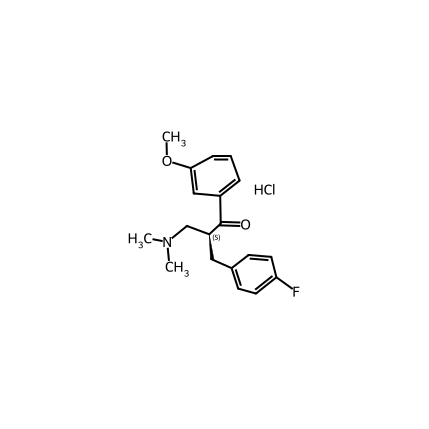 COc1cccc(C(=O)[C@@H](Cc2ccc(F)cc2)CN(C)C)c1.Cl